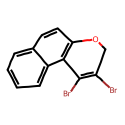 BrC1=C(Br)c2c(ccc3ccccc23)OC1